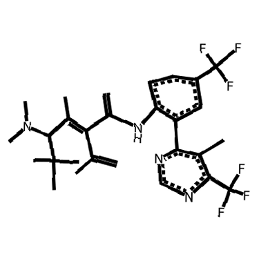 C=C(C)/C(C(=C)Nc1ccc(C(F)(F)F)cc1-c1ncnc(C(F)(F)F)c1C)=C(/C)C(N(C)C)C(C)(C)C